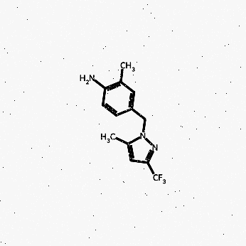 Cc1cc(Cn2nc(C(F)(F)F)cc2C)ccc1N